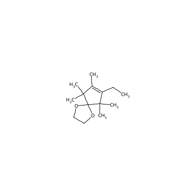 CCC1=C(C)C(C)(C)C2(OCCO2)C1(C)C